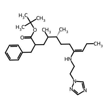 CC/C=C(\CC[C@@H](C)C(C)CC(Cc1ccccc1)C(=O)OC(C)(C)C)NCCn1cncn1